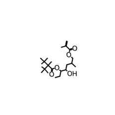 C=C(C)C(=O)OCC(C)CC(O)C(CC)OC(=O)C(C)(C(C)(C)C)C(C)(C)C